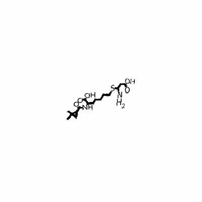 CC1(C)CC1C(=O)NC(=CCCCCSC(N)CC(=O)O)C(=O)O